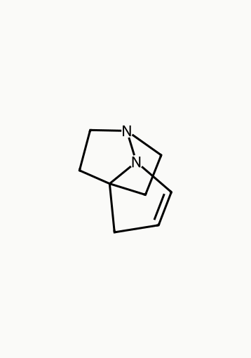 C1=CN2N3CCC2(C1)CC3